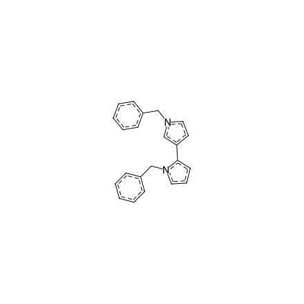 c1ccc(Cn2ccc(-c3cccn3Cc3ccccc3)c2)cc1